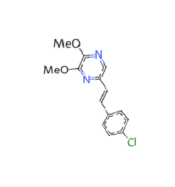 COc1ncc(/C=C/c2ccc(Cl)cc2)nc1OC